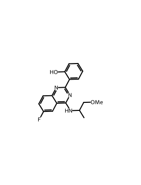 COCC(C)Nc1nc(-c2ccccc2O)nc2ccc(F)cc12